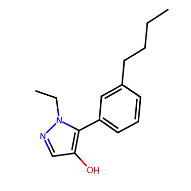 CCCCc1cccc(-c2c(O)cnn2CC)c1